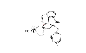 C=C1c2cccc3cccc(c23)C1(Cc1ccncc1)Cc1ccncc1.Cl.Cl